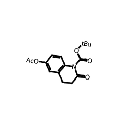 CC(=O)Oc1ccc2c(c1)CCC(=O)N2C(=O)OC(C)(C)C